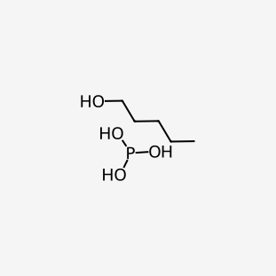 CCCCCO.OP(O)O